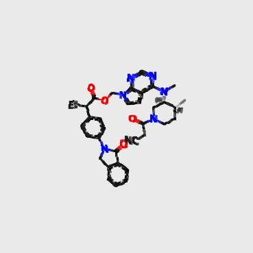 CCC(C(=O)OCn1ccc2c(N(C)[C@H]3CN(C(=O)CC#N)CC[C@H]3C)ncnc21)c1ccc(N2Cc3ccccc3C2=O)cc1